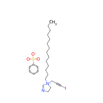 CCCCCCCCCCCCCC[N+]1(CC#CI)C=NCC1.O=S(=O)([O-])c1ccccc1